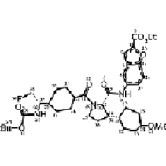 CCOC(=O)c1cc2cc(NC(=O)[C@@H]3[C@H](C4CCC(OC)CC4)CCN3C(=O)C3CCC([C@@H](CF)NC(=O)OC(C)(C)C)CC3)ccc2o1